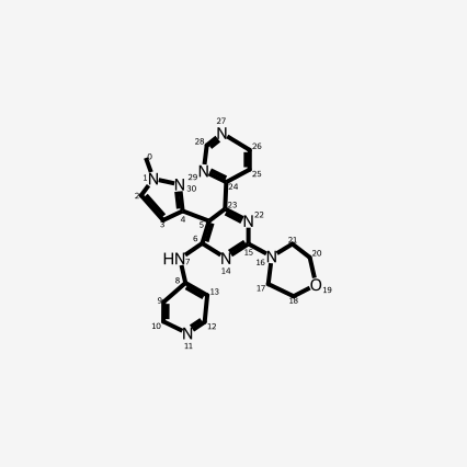 Cn1ccc(-c2c(Nc3ccncc3)nc(N3CCOCC3)nc2-c2ccncn2)n1